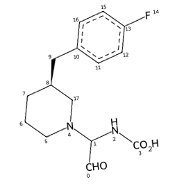 O=CC(NC(=O)O)N1CCC[C@@H](Cc2ccc(F)cc2)C1